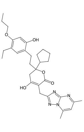 CCCOc1cc(O)c(CCC2(C3CCCC3)CC(O)=C(Cc3nc4nc(C)cc(C)n4n3)C(=O)O2)cc1CC